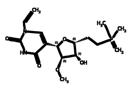 C=Cn1cc([C@@H]2O[C@H](CCP(=C)(C)C)[C@@H](O)[C@H]2OC)c(=O)[nH]c1=O